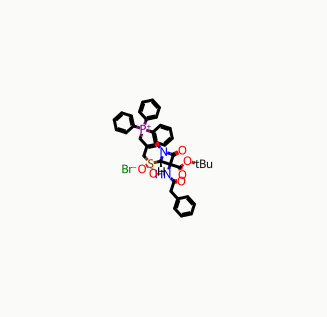 CC(C)(C)OC(=O)C1(NC(=O)Cc2ccccc2)C(=O)N2C=C(C[P+](c3ccccc3)(c3ccccc3)c3ccccc3)CS(=O)(=O)[C@H]21.[Br-]